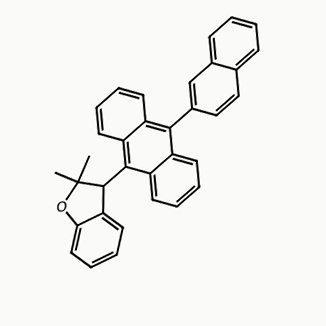 CC1(C)Oc2ccccc2C1c1c2ccccc2c(-c2ccc3ccccc3c2)c2ccccc12